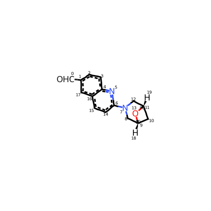 O=Cc1ccc2nc(N3C[C@H]4C[C@@H](C3)O4)ccc2c1